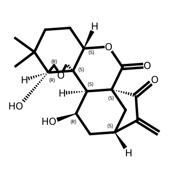 C=C1C(=O)[C@]23C[C@H]1C[C@@H](O)[C@H]2[C@@]12CO[C@@H](O)[C@@H]1C(C)(C)CC[C@@H]2OC3=O